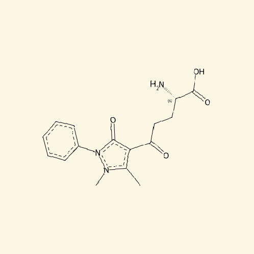 Cc1c(C(=O)CC[C@H](N)C(=O)O)c(=O)n(-c2ccccc2)n1C